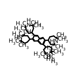 CC1(C)CCC(c2cc3cc(C4CCC(C)(C)NC(C)(C)C4)c(C4CCC(C)(C)NC(C)(C)C4)cc3cc2C2CCC(C)(C)NC(C)(C)C2)CC(C)(C)N1